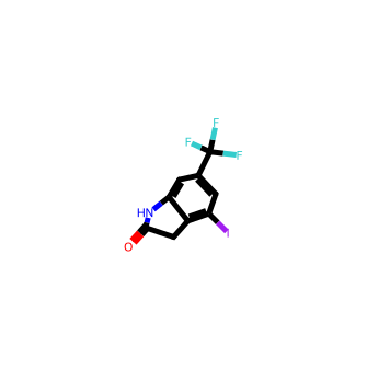 O=C1Cc2c(I)cc(C(F)(F)F)cc2N1